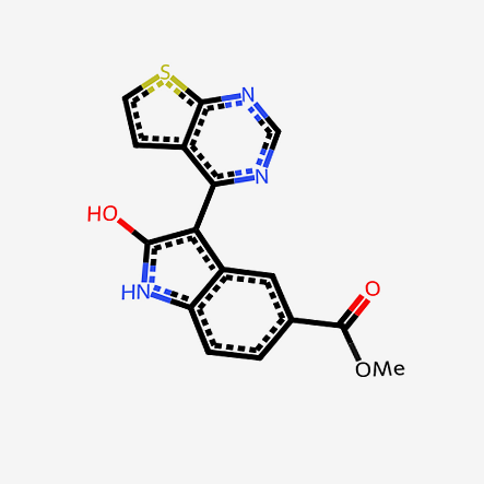 COC(=O)c1ccc2[nH]c(O)c(-c3ncnc4sccc34)c2c1